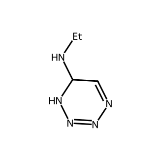 CCNC1C=NN=NN1